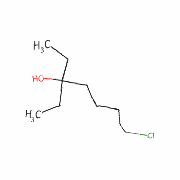 CCC(O)(CC)CCCCCl